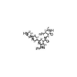 CCCc1cc(C)[nH]c(=O)c1/C=N/C(=O)c1cc(-c2ccc(N3CCNCC3)nc2)nc2c1cnn2C(C)C